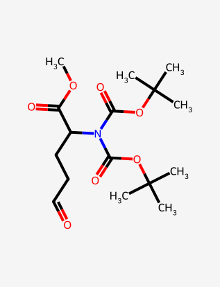 COC(=O)C(CCC=O)N(C(=O)OC(C)(C)C)C(=O)OC(C)(C)C